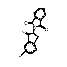 O=C1c2cc(F)ccc2CC1N1C(=O)c2ccccc2C1=O